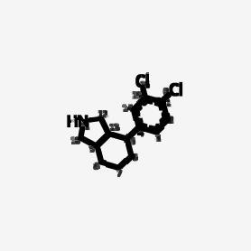 Clc1ccc(C2CCCC3CNCC32)cc1Cl